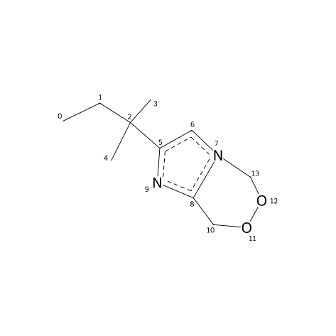 CCC(C)(C)c1cn2c(n1)COOC2